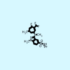 CC1C=C(F)C(C(F)F)=CC(N(C)c2nn(C)c3ccc(S(=O)(=O)NC(C)C)cc23)=C1